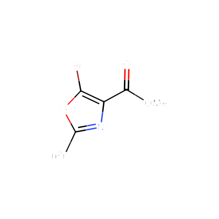 CCCc1nc(C(=O)OC)c(Br)o1